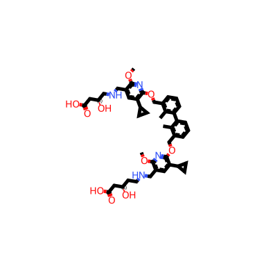 COc1nc(OCc2cccc(-c3cccc(COc4nc(OC)c(CNC[C@H](O)CC(=O)O)cc4C4CC4)c3C)c2C)c(C2CC2)cc1CNCC[C@H](O)CC(=O)O